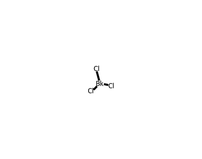 [Cl][Bk]([Cl])[Cl]